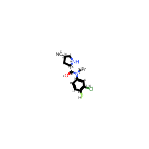 CC(C)N(C(=O)[C@@H]1C[C@H](C#N)CN1)c1ccc(F)c(Cl)c1